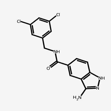 Nc1n[nH]c2ccc(C(=O)NCc3cc(Cl)cc(Cl)c3)cc12